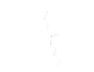 O=C(CCCCS)OCCCS